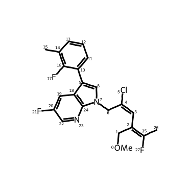 COCC(/C=C(/Cl)Cn1cc(-c2cccc(C)c2F)c2cc(F)cnc21)=C(/C)F